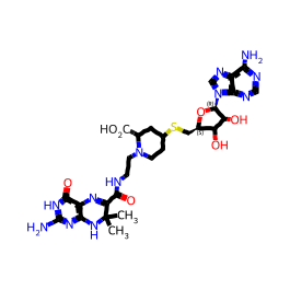 CC1(C)Nc2nc(N)[nH]c(=O)c2N=C1C(=O)NCCN1CCC(SC[C@H]2O[C@@H](n3cnc4c(N)ncnc43)C(O)C2O)CC1C(=O)O